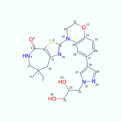 CC1(C)CNC(=O)c2sc(N3CCOc4ccc(-c5cnn(CC(O)CO)c5)cc43)nc2C1